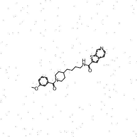 COc1cccc(C(=O)N2CCC(CCCCNC(=O)c3cc4ccncc4s3)CC2)c1